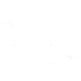 CC1C2(C(N)=O)C=CCC1(C(N)=O)c1ccc2cc1